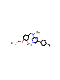 CCCCN(Cc1ccc(OCC(=O)OCC)c(C)c1)c1cncc(-c2ccc(CI)cc2)n1